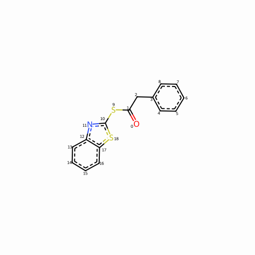 O=C(Cc1ccccc1)Sc1nc2ccccc2s1